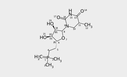 C=P(C)(C)CC[C@H]1OC(N2CC(C)C(=O)NC2=O)[C@H](O)[C@@H]1O